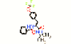 CC(C)NC(=O)C(=Cc1ccc(OC(F)(F)F)cc1)NC(=O)c1ccccc1